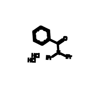 CC(C)N(C(=O)c1ccccc1)C(C)C.Cl.Cl